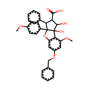 COc1ccc(C23Oc4cc(OCc5ccccc5)cc(OC)c4C2(O)C(O)C(C(=O)O)C3c2ccccc2)cc1